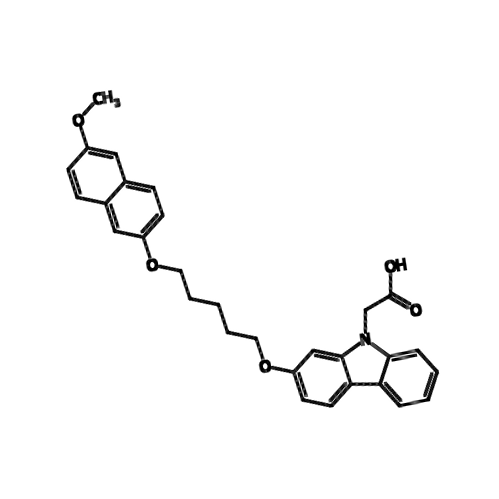 COc1ccc2cc(OCCCCCOc3ccc4c5ccccc5n(CC(=O)O)c4c3)ccc2c1